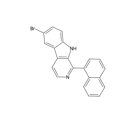 Brc1ccc2[nH]c3c(-c4cccc5ccccc45)nccc3c2c1